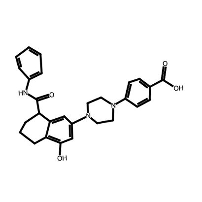 O=C(O)c1ccc(N2CCN(c3cc(O)c4c(c3)C(C(=O)Nc3ccccc3)CCC4)CC2)cc1